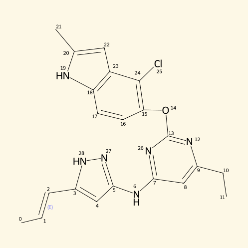 C/C=C/c1cc(Nc2cc(CC)nc(Oc3ccc4[nH]c(C)cc4c3Cl)n2)n[nH]1